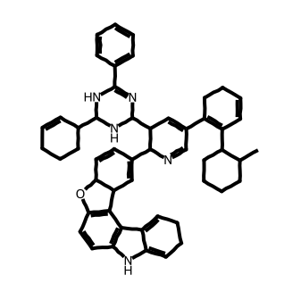 CC1CCCCC1C1=C(C2=CC(C3N=C(c4ccccc4)NC(C4C=CCCC4)N3)C(C3=CC4c5c(ccc6[nH]c7c(c56)=CCCC=7)OC4C=C3)N=C2)CCC=C1